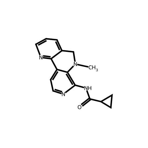 CN1Cc2cccnc2-c2ccnc(NC(=O)C3CC3)c21